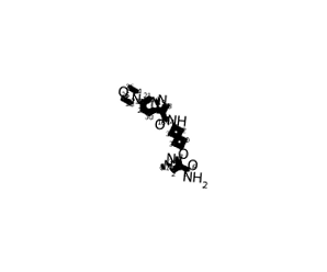 Cn1cc(C(N)=O)c(O[C@H]2CC3(C[C@H](NC(=O)c4cnn5cc(N6CCOCC6)ccc45)C3)C2)n1